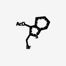 CC(=O)Oc1c(CBr)sc2ccccc12